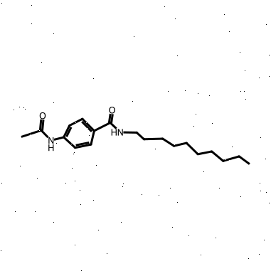 CCCCCCCCCCNC(=O)c1ccc(NC(C)=O)cc1